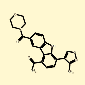 Cc1nocc1-c1ccc(C(N)=O)c2c1[nH]c1ccc(C(=O)N3CCOCC3)cc12